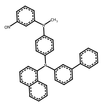 CN(c1ccc(N(c2cccc(-c3ccccc3)c2)c2cccc3ccccc23)cc1)c1cccc(N=O)c1